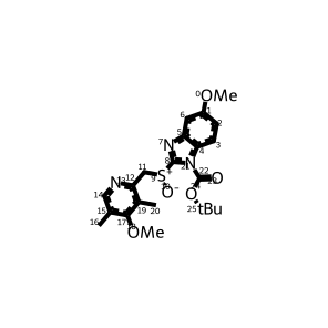 COc1ccc2c(c1)nc([S@@+]([O-])Cc1ncc(C)c(OC)c1C)n2C(=O)OC(C)(C)C